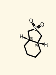 O=S1(=O)C[C@H]2CCCC[C@H]2C1